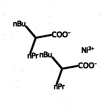 CCCCC(CCC)C(=O)[O-].CCCCC(CCC)C(=O)[O-].[Ni+2]